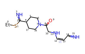 CCSC(=N)C1CCN(C(=O)CN/C=C\C=N)CC1